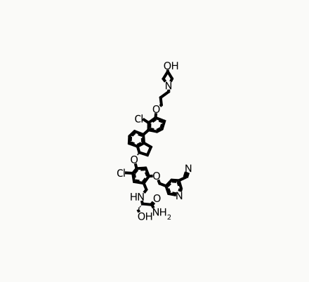 N#Cc1cncc(COc2cc(O[C@H]3CCc4c(-c5cccc(OCCCN6CC(O)C6)c5Cl)cccc43)c(Cl)cc2CN[C@@H](CO)C(N)=O)c1